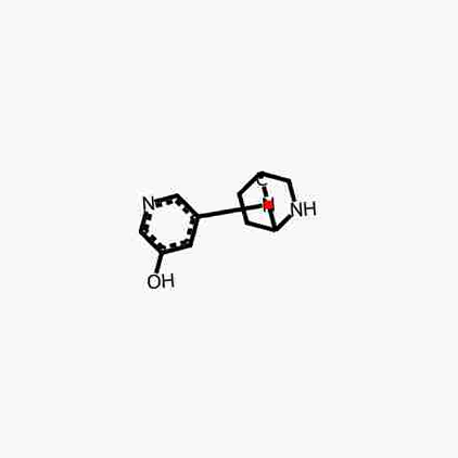 Oc1cncc(N2CC3CCC(C2)NC3)c1